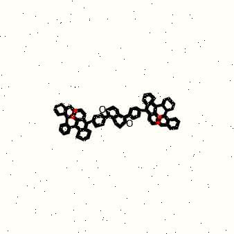 C1=CCC(c2cccc3ccccc23)C(c2c3ccccc3c(-c3ccc4c(c3)oc3ccc5c(ccc6oc7cc(-c8c9ccccc9c(-c9ccccc9-c9cccc%10c9C=CCC%10)c9ccccc89)ccc7c65)c34)c3ccccc23)=C1